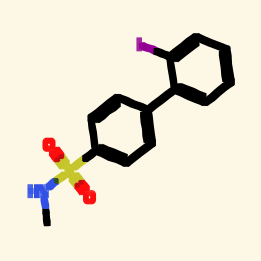 CNS(=O)(=O)c1ccc(-c2ccccc2I)cc1